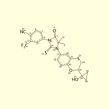 CC1(C)C(=O)N(c2ccc(C#N)c(C(F)(F)F)c2)C(=S)N1c1ccc2c(c1)SCC(C1(O)CC1)O2